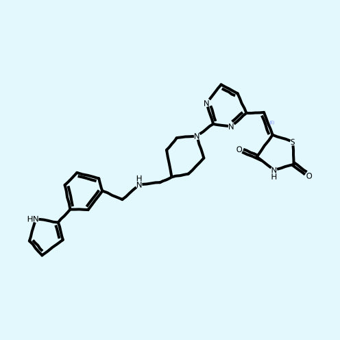 O=C1NC(=O)/C(=C\c2ccnc(N3CCC(CNCc4cccc(-c5ccc[nH]5)c4)CC3)n2)S1